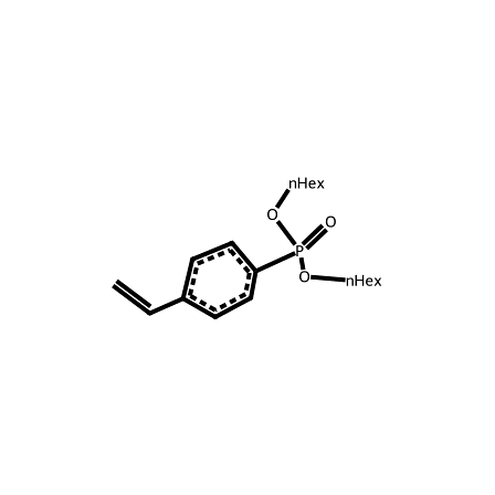 C=Cc1ccc(P(=O)(OCCCCCC)OCCCCCC)cc1